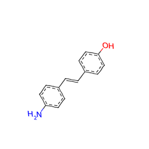 Nc1ccc(/C=C/c2ccc(O)cc2)cc1